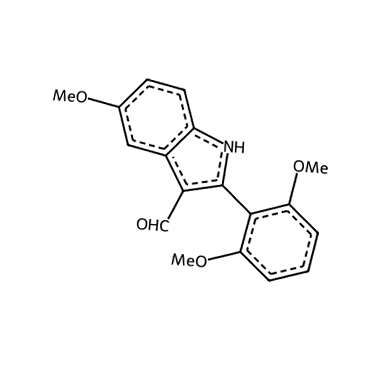 COc1ccc2[nH]c(-c3c(OC)cccc3OC)c(C=O)c2c1